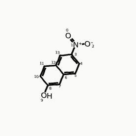 O=[N+]([O-])c1ccc2cc(O)ccc2c1